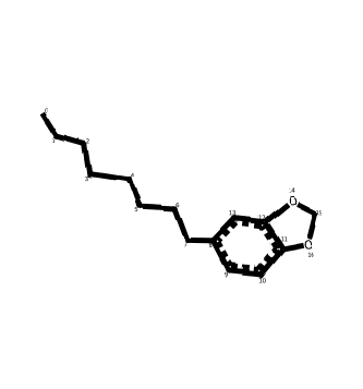 CCCCCCCCc1ccc2c(c1)OCO2